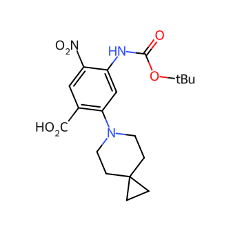 CC(C)(C)OC(=O)Nc1cc(N2CCC3(CC2)CC3)c(C(=O)O)cc1[N+](=O)[O-]